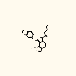 CCCCC(=O)c1sc(Oc2ccc3c(c2)OCO3)c2c1CCc1cnn(C)c1-2